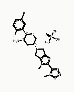 Cn1nnnc1-c1nc2c(n1C)CN([C@H]1CO[C@H](c3cc(F)ccc3F)[C@@H](N)C1)C2.O=P(O)(O)O